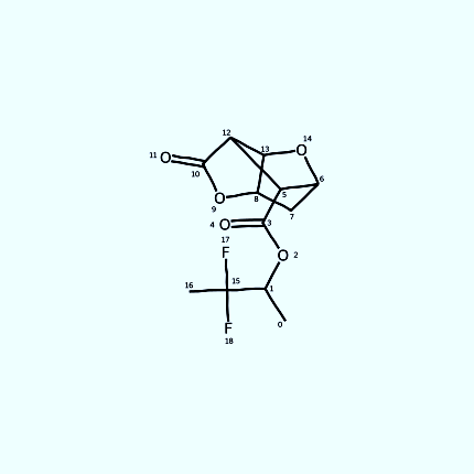 CC(OC(=O)C1C2CC3OC(=O)C1C3O2)C(C)(F)F